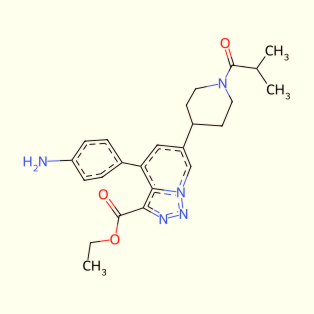 CCOC(=O)c1nnn2cc(C3CCN(C(=O)C(C)C)CC3)cc(-c3ccc(N)cc3)c12